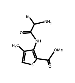 CCC(N)C(=O)Nc1c(C)csc1C(=O)OC